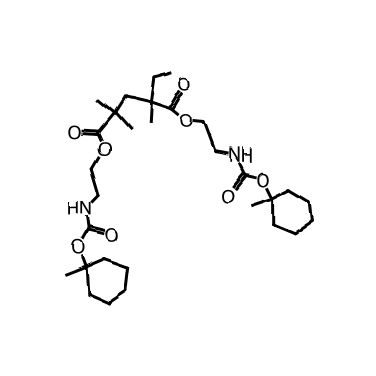 CCC(C)(CC(C)(C)C(=O)OCCNC(=O)OC1(C)CCCCC1)C(=O)OCCNC(=O)OC1(C)CCCCC1